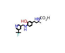 C[C@@H](CCc1ccc(NCc2cncc(C(C)(C)F)c2)c(O)c1)NC(=O)O